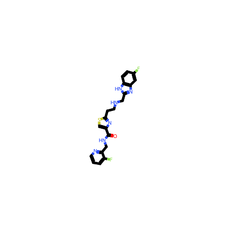 O=C(NCc1ncccc1F)c1csc(CCNCc2nc3cc(F)ccc3[nH]2)n1